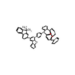 CC1(C)c2ccccc2-c2ccc(-c3cc(-c4ccc(N(c5ccc(-c6ccccc6)cc5)c5ccccc5-c5ccccc5)cc4)c4oc5ccccc5c4c3)cc21